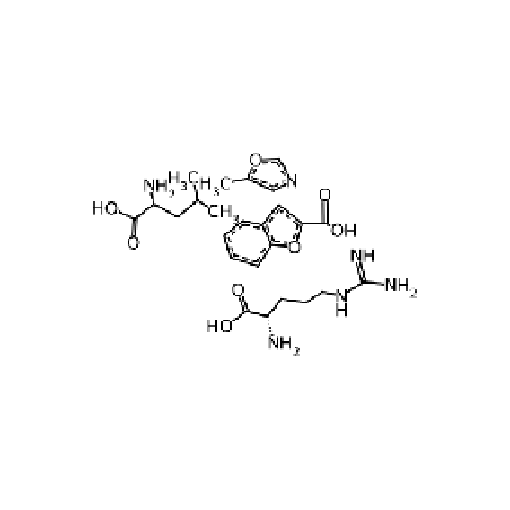 CC(C)C[C@H](N)C(=O)O.Cc1cnco1.N=C(N)NCCC[C@H](N)C(=O)O.O=C(O)c1cc2ccccc2o1